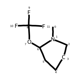 CN1CC[CH]CC1OC(F)(F)F